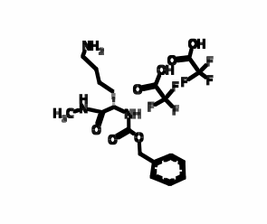 CNC(=O)[C@H](CCCCN)NC(=O)OCc1ccccc1.O=C(O)C(F)(F)F.O=C(O)C(F)(F)F